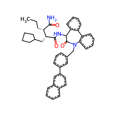 CCC[C@H](C(N)=O)[C@@H](CC1CCCC1)C(=O)NC1C(=O)N(Cc2cccc(-c3ccc4ccccc4c3)c2)c2ccccc2-c2ccccc21